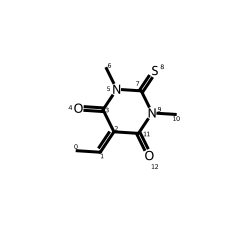 CC=C1C(=O)N(C)C(=S)N(C)C1=O